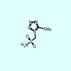 CSc1nnnn1CS(N)(=O)=O